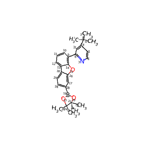 CC(C)(C)c1ccnc(-c2cccc3c2oc2cc(B4OC(C)(C)C(C)(C)O4)ccc23)c1